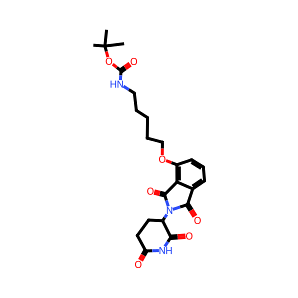 CC(C)(C)OC(=O)NCCCCCOc1cccc2c1C(=O)N(C1CCC(=O)NC1=O)C2=O